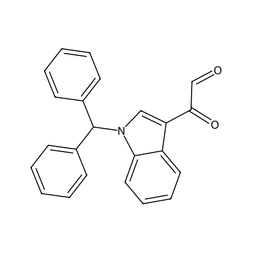 O=CC(=O)c1cn(C(c2ccccc2)c2ccccc2)c2ccccc12